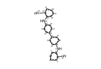 CCCc1ccccc1Nc1ccc(-c2ccc(Nc3ccccc3CCC)cc2)cc1